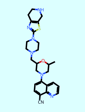 CC1CN(c2ccc(C#N)c3ncccc23)CC(CN2CCN(c3nc4c(s3)CNCC4)CC2)O1